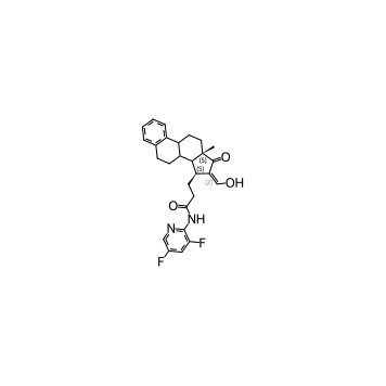 C[C@]12CCC3c4ccccc4CCC3C1[C@H](CCC(=O)Nc1ncc(F)cc1F)/C(=C/O)C2=O